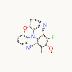 COc1c(C)c(C#N)c(N2c3ccccc3Oc3ccccc32)c(C#N)c1F